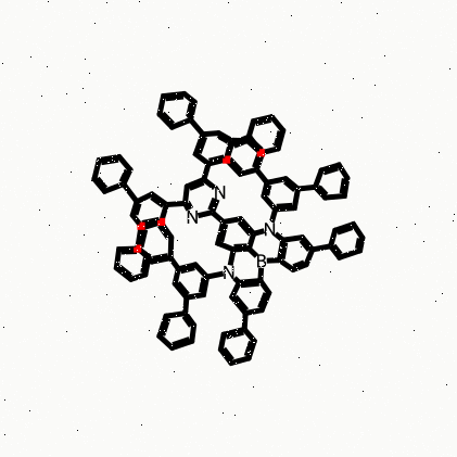 c1ccc(-c2cc(-c3ccccc3)cc(-c3cc(-c4cc(-c5ccccc5)cc(-c5ccccc5)c4)nc(-c4cc5c6c(c4)N(c4cc(-c7ccccc7)cc(-c7ccccc7)c4)c4cc(-c7ccccc7)ccc4B6c4ccc(-c6ccccc6)cc4N5c4cc(-c5ccccc5)cc(-c5ccccc5)c4)n3)c2)cc1